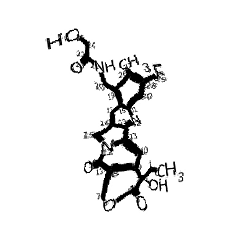 CC[C@@]1(O)C(=O)OCc2c1cc1n(c2=O)Cc2cc3c(CNC(=O)CO)c(C)c(F)cc3nc2-1